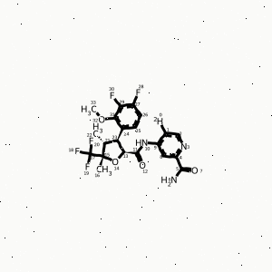 [2H]c1cnc(C(N)=O)cc1NC(=O)[C@H]1O[C@](C)(C(F)(F)F)[C@H](C)[C@H]1c1ccc(F)c(F)c1OC